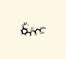 CC(NC(=O)CC(O)C(C)(C)C)c1cccc(OC(F)(F)F)c1